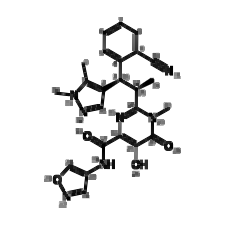 Cc1c([C@@H](c2ccccc2C#N)[C@@H](C)c2nc(C(=O)Nc3cnoc3)c(O)c(=O)n2C)cnn1C